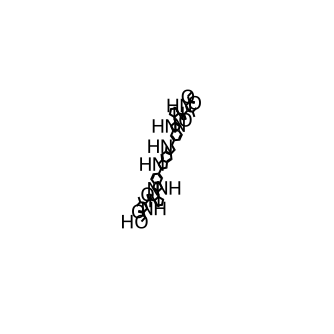 COC(=O)NC(C(=O)N1CCCC1c1nc2ccc(C3Cc4cc5c(cc4N3)NC(c3ccc4nc(C6CCCN6C(=O)C(NC(=O)CO)C(C)C)[nH]c4c3)C5)cc2[nH]1)C(C)C